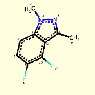 Cc1nn(C)c2ccc(F)c(F)c12